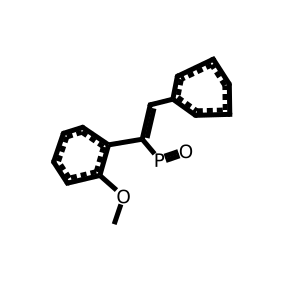 COc1ccccc1/C(=C/c1ccccc1)P=O